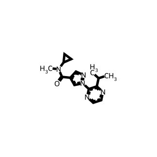 CC(C)c1nccnc1-n1cc(C(=O)N(C)C2CC2)cn1